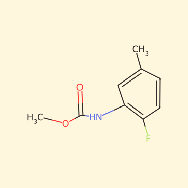 COC(=O)Nc1cc(C)ccc1F